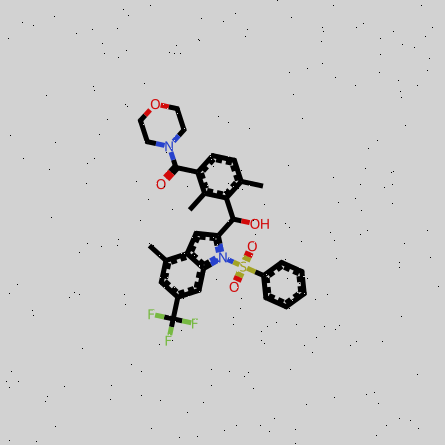 Cc1ccc(C(=O)N2CCOCC2)c(C)c1C(O)c1cc2c(C)cc(C(F)(F)F)cc2n1S(=O)(=O)c1ccccc1